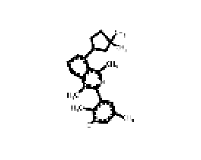 Cc1cc(C)c(C)c(-c2nc(C)c3c(C4CCC(C)(C)C4)cccc3[n+]2C)c1